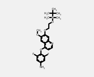 COc1cc2c(Oc3c(F)cc(N)cc3F)ccnc2cc1OCCO[Si](C)(C)C(C)(C)C